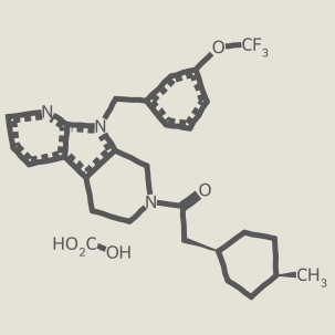 C[C@H]1CC[C@@H](CC(=O)N2CCc3c(n(Cc4cccc(OC(F)(F)F)c4)c4ncccc34)C2)CC1.O=C(O)O